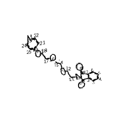 O=C1c2ccccc2C(=O)N1CCOCCOCCOc1ccncc1